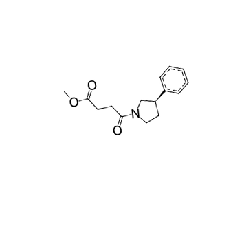 COC(=O)CCC(=O)N1CC[C@H](c2ccccc2)C1